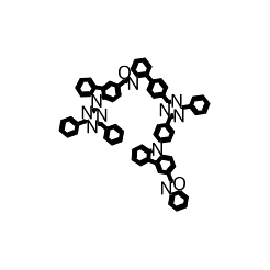 c1ccc(-c2nc(-c3ccc(-c4cccc5oc(-c6ccc7c(c6)c6ccccc6n7-c6nc(-c7ccccc7)nc(-c7ccccc7)n6)nc45)cc3)nc(-c3ccc(-n4c5ccccc5c5cc(-c6nc7ccccc7o6)ccc54)cc3)n2)cc1